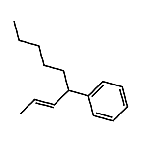 CC=CC(CCCCC)c1ccccc1